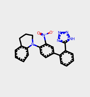 O=[N+]([O-])c1cc(-c2ccccc2-c2nnn[nH]2)ccc1N1CCCc2ccccc21